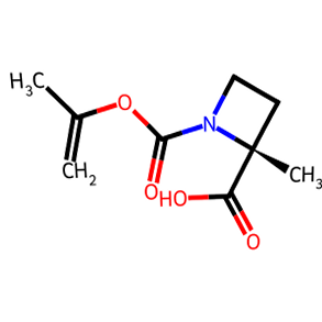 C=C(C)OC(=O)N1CC[C@]1(C)C(=O)O